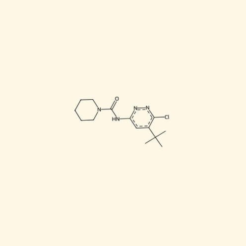 CC(C)(C)c1cc(NC(=O)N2CCCCC2)nnc1Cl